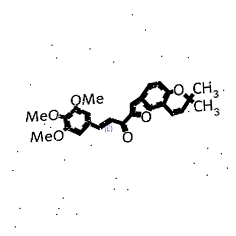 COc1cc(/C=C/C(=O)c2cc3ccc4c(c3o2)C=CC(C)(C)O4)cc(OC)c1OC